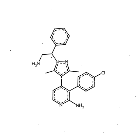 Cc1nn(C(CN)c2ccccc2)c(C)c1-c1ccnc(N)c1-c1ccc(Cl)cc1